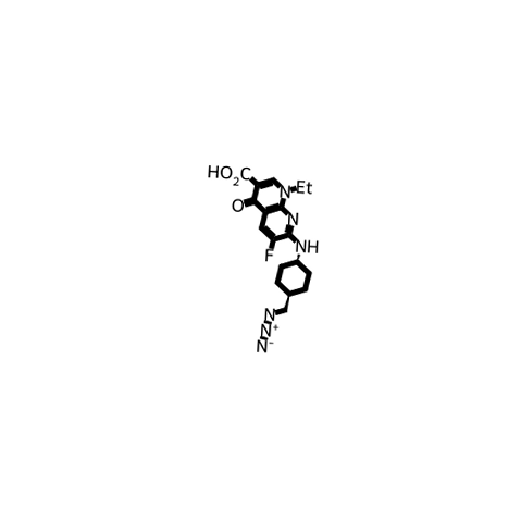 CCn1cc(C(=O)O)c(=O)c2cc(F)c(N[C@H]3CC[C@H](CN=[N+]=[N-])CC3)nc21